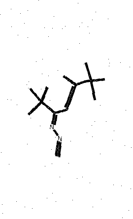 C=N/N=C(\C=C(/C)C(C)(C)C)C(C)(C)C